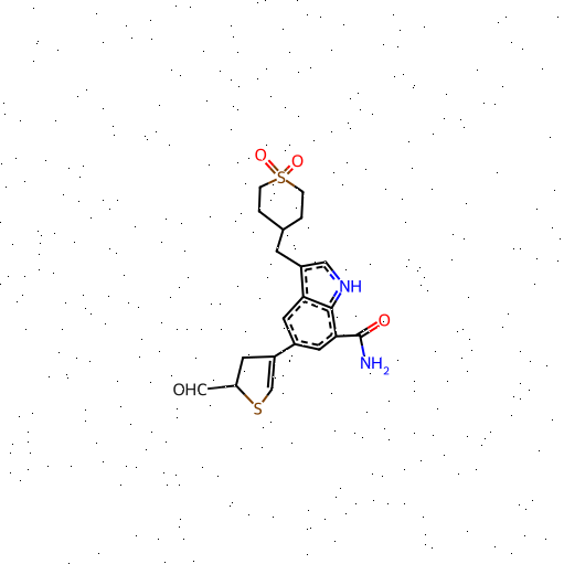 NC(=O)c1cc(C2=CSC(C=O)C2)cc2c(CC3CCS(=O)(=O)CC3)c[nH]c12